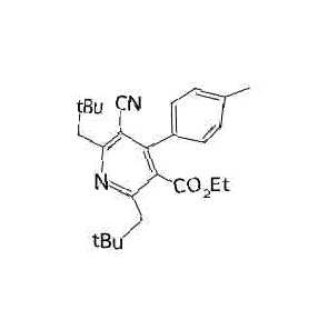 CCOC(=O)c1c(CC(C)(C)C)nc(CC(C)(C)C)c(C#N)c1-c1ccc(C)cc1